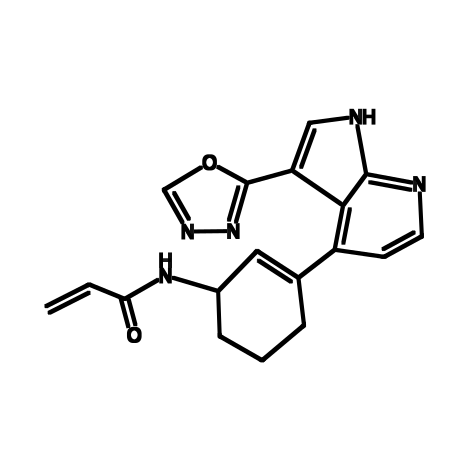 C=CC(=O)NC1C=C(c2ccnc3[nH]cc(-c4nnco4)c23)CCC1